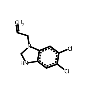 C=CCN1CNc2cc(Cl)c(Cl)cc21